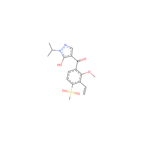 C=Cc1c(S(C)(=O)=O)ccc(C(=O)c2cnn(C(C)C)c2O)c1OC